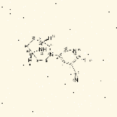 N#Cc1cc(N2CC[C@@H]3CC[C@H](C2)N3)cnc1F